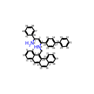 NC(/C=C(\NCc1c2ccccc2cc2ccc3ccccc3c12)c1ccc(-c2ccccc2)cc1)c1ccccc1